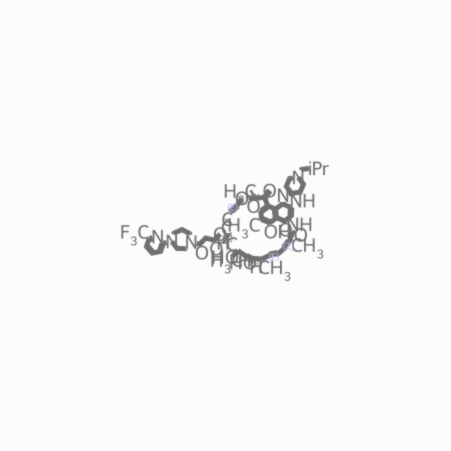 C/C1=C/C=C/C(C)[C@H](O)[C@@H](C)C(O)C[C@H](OC(=O)CC(=O)N2CCCN(c3cccc(C(F)(F)F)n3)CC2)CC/C=C/O[C@@]2(C)Oc3c(C)c(O)c4c(c3C2=O)C2=NC3(CCN(CC(C)C)CC3)NC2=C(NC1=O)C4=O